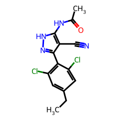 CCc1cc(Cl)c(-c2n[nH]c(NC(C)=O)c2C#N)c(Cl)c1